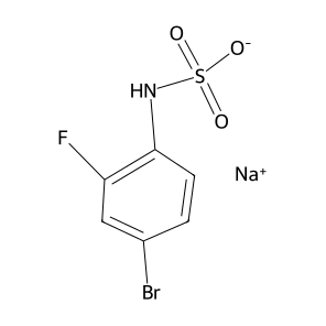 O=S(=O)([O-])Nc1ccc(Br)cc1F.[Na+]